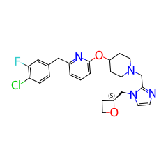 Fc1cc(Cc2cccc(OC3CCN(Cc4nccn4C[C@@H]4CCO4)CC3)n2)ccc1Cl